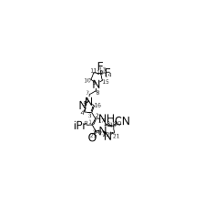 CC(C)c1c(-c2cnn(CCN3CCC(F)(F)C3)c2)[nH]c2c(C#N)cnn2c1=O